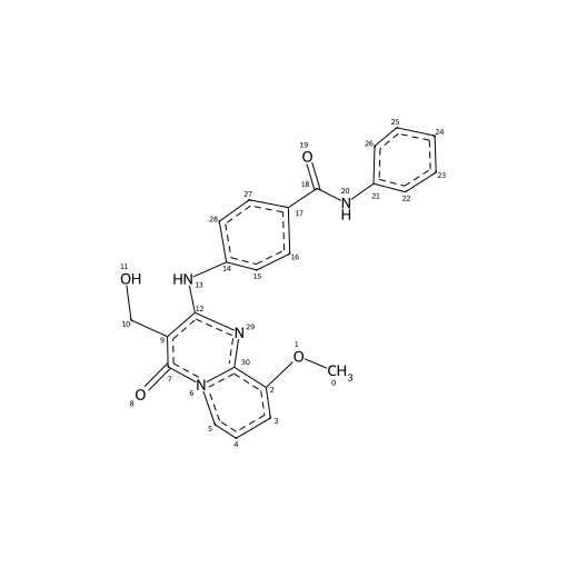 COc1cccn2c(=O)c(CO)c(Nc3ccc(C(=O)Nc4ccccc4)cc3)nc12